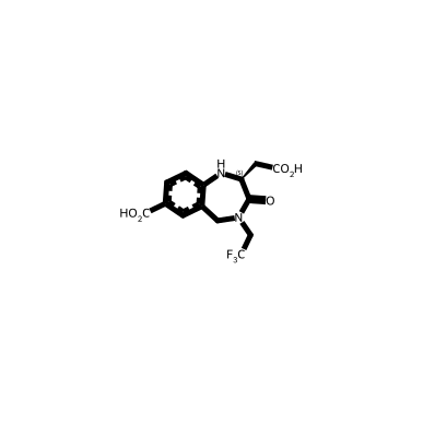 O=C(O)C[C@@H]1Nc2ccc(C(=O)O)cc2CN(CC(F)(F)F)C1=O